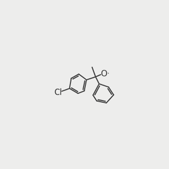 CC([O])(c1ccccc1)c1ccc(Cl)cc1